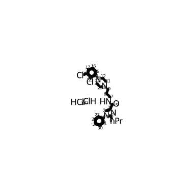 CCCc1nc(C(=O)NCCCN2CCN(c3cccc(Cl)c3Cl)CC2)cn1-c1ccccc1.Cl.Cl